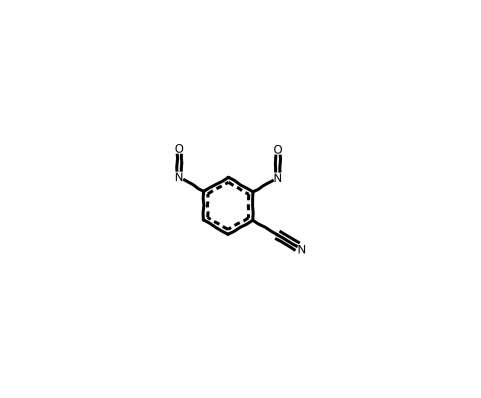 N#Cc1ccc(N=O)cc1N=O